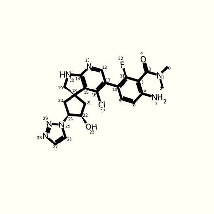 CN(C)C(=O)c1c(N)ccc(-c2cnc3c(c2Cl)[C@]2(CN3)C[C@@H](O)[C@@H](n3ccnn3)C2)c1F